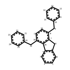 [c]1cccc2c1Cc1c(Cc3ccccc3)ccc(Cc3ccccc3)c1-2